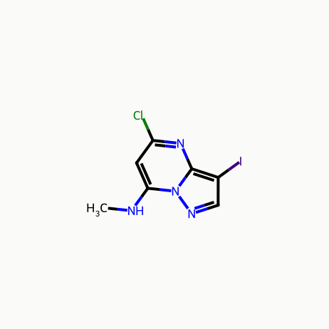 CNc1cc(Cl)nc2c(I)cnn12